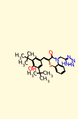 CC(C)(C)c1cc(/C=C2\Sc3ccccc3N(Cc3nnn[nH]3)C2=O)cc(C(C)(C)C)c1O